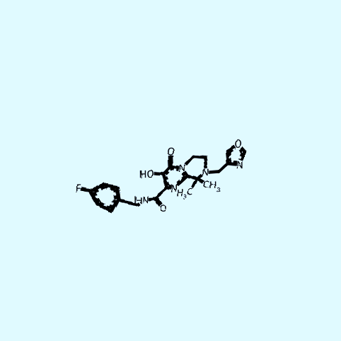 CC1(C)c2nc(C(=O)NCc3ccc(F)cc3)c(O)c(=O)n2CCN1Cc1cocn1